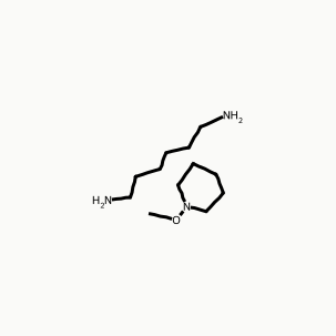 CON1CCCCC1.NCCCCCCN